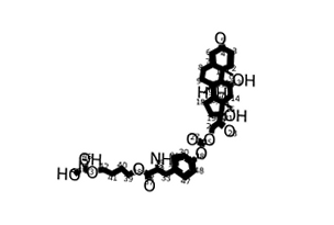 C[C@]12C=CC(=O)C=C1CC[C@@H]1C2[C@@H](O)C[C@@]2(C)[C@H]1CC[C@]2(O)C(=O)COC(=O)Oc1ccc(C[C@H](N)C(=O)OCCCCON(O)O)cc1